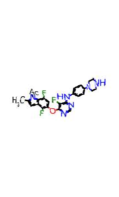 CC(=O)n1c(C)cc2c(F)c(Oc3ncnc(Nc4ccc(N5CCNCC5)cc4)c3F)cc(F)c21